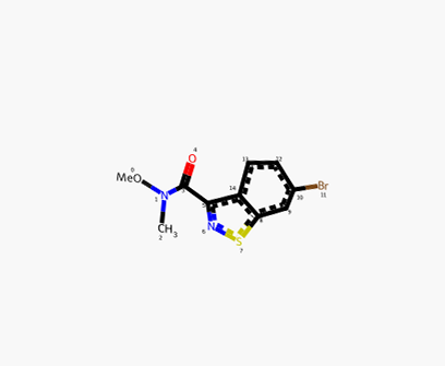 CON(C)C(=O)c1nsc2cc(Br)ccc12